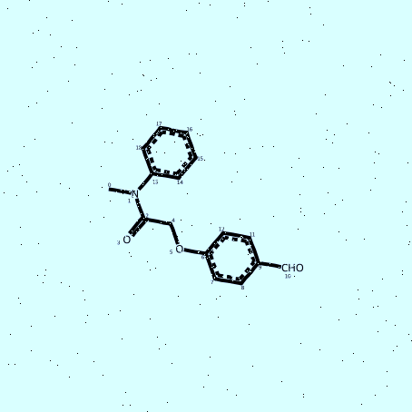 CN(C(=O)COc1ccc(C=O)cc1)c1ccccc1